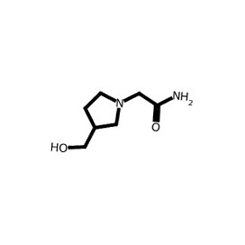 NC(=O)CN1CCC(CO)C1